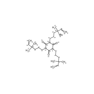 C=CC(C)(C)CCCn1c(=O)n(CCCC(C)(C)C=C)c(=O)n(CCCC(C)(C=C)C(C)(C)C)c1=O